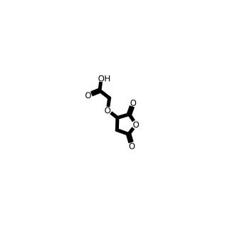 O=C(O)COC1CC(=O)OC1=O